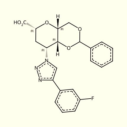 O=C(O)[C@H]1C[C@@H](n2cc(-c3cccc(F)c3)nn2)[C@H]2OC(c3ccccc3)OC[C@H]2O1